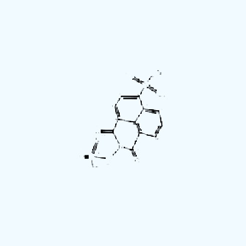 CCCCS(=O)(=O)c1ccc2c3c(cccc13)C(=O)N(OS(=O)(=O)C(F)(F)F)C2=O